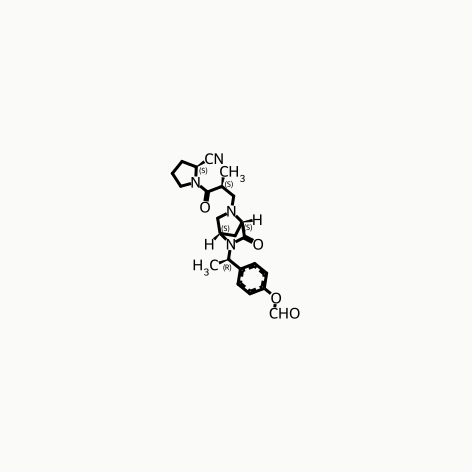 C[C@H](c1ccc(OC=O)cc1)N1C(=O)[C@@H]2C[C@H]1CN2C[C@H](C)C(=O)N1CCC[C@H]1C#N